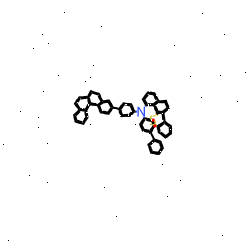 c1ccc(-c2ccc(N(c3ccc(-c4ccc5c(ccc6ccc7ccccc7c65)c4)cc3)c3cccc4ccc5c6ccccc6sc5c34)cc2)cc1